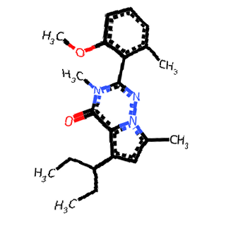 CCC(CC)c1cc(C)n2nc(-c3c(C)cccc3OC)n(C)c(=O)c12